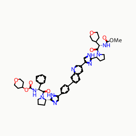 COC(=O)N[C@H](C(=O)N1CCCC1c1nc(-c2cnc3cc(-c4ccc(-c5cnc([C@@H]6CCCN6C(=O)[C@H](NC(=O)OC6CCOCC6)c6ccccc6)[nH]5)cc4)ccc3c2)c[nH]1)C1CCOCC1